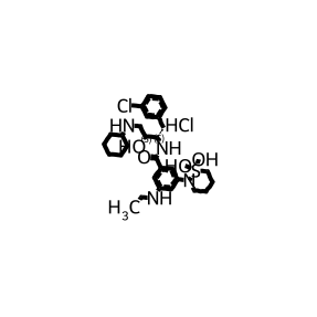 CCNc1cc(C(=O)N[C@@H](Cc2cccc(Cl)c2)[C@@H](O)CNC2CCCCC2)cc(N2CCCCS2(O)O)c1.Cl